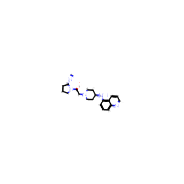 C#[N+][C@@H]1CCCN1C(=O)CN1CCC(Nc2cccc3ncccc23)CC1